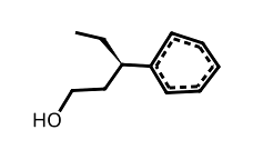 CC[C@H](CCO)c1ccccc1